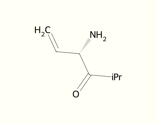 C=C[C@H](N)C(=O)C(C)C